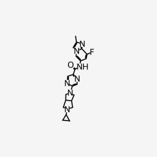 Cc1cn2cc(NC(=O)c3cnc(N4CC5CN(C6CC6)CC5C4)cn3)cc(F)c2n1